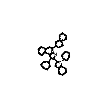 c1ccc(-c2c(-c3cc4ccccc4n3-c3ccccc3)nn3c(-c4ccc5ccccc5c4)cc4ccccc4c23)cc1